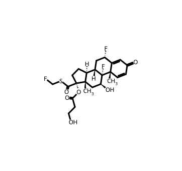 C[C@]12C=CC(=O)C=C1[C@@H](F)C[C@H]1[C@@H]3CC[C@](OC(=O)CCO)(C(=O)SCF)[C@@]3(C)C[C@H](O)[C@@]12F